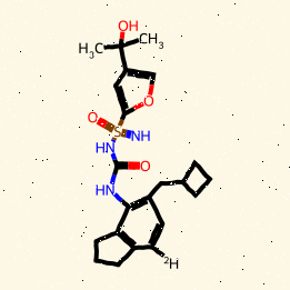 [2H]c1cc(CC2CCC2)c(NC(=O)NS(=N)(=O)c2cc(C(C)(C)O)co2)c2c1CCC2